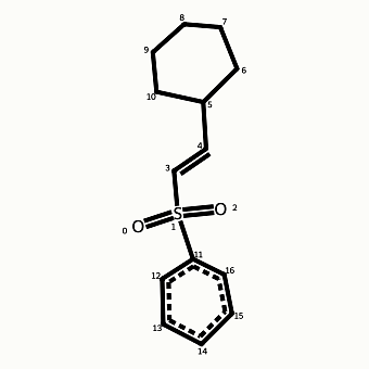 O=S(=O)(C=CC1CCCCC1)c1ccccc1